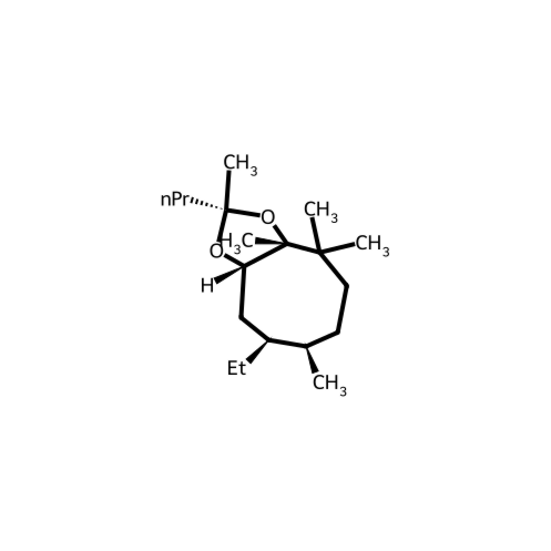 CCC[C@@]1(C)O[C@H]2C[C@H](CC)[C@H](C)CCC(C)(C)[C@@]2(C)O1